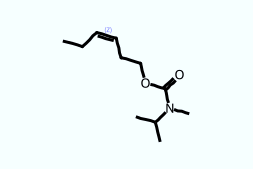 CC/C=C\CCOC(=O)N(C)C(C)C